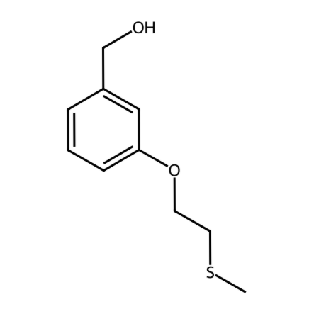 CSCCOc1cccc(CO)c1